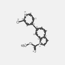 CC(C)(C)OC(=O)n1ccc2ccc(-c3ccnc(Cl)c3)cc21